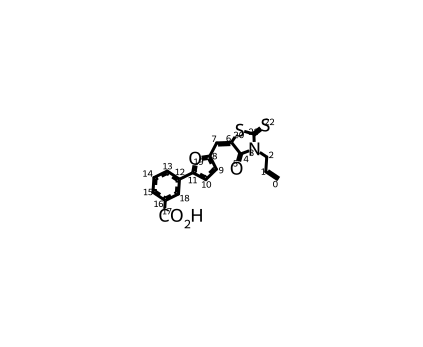 C=CCN1C(=O)/C(=C\c2ccc(-c3cccc(C(=O)O)c3)o2)SC1=S